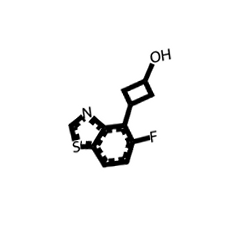 OC1CC(c2c(F)ccc3scnc23)C1